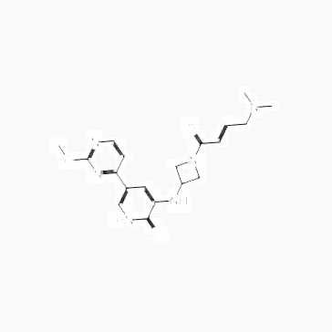 COc1nccc(-c2c[nH]c(=O)c(NC3CN(C(=O)/C=C/CN(C)C)C3)c2)n1